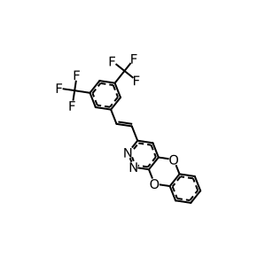 FC(F)(F)c1cc(/C=C/c2cc3c(nn2)Oc2ccccc2O3)cc(C(F)(F)F)c1